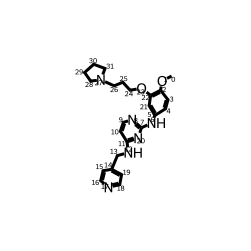 COc1ccc(Nc2nccc(NCc3ccncc3)n2)cc1OCCCN1CCCC1